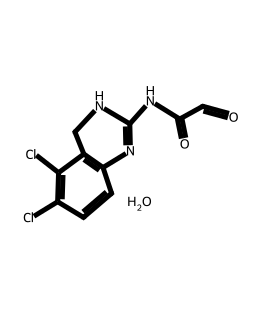 O.O=CC(=O)NC1=Nc2ccc(Cl)c(Cl)c2CN1